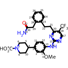 COc1cc(C2CCN(C(=O)O)CC2)ccc1Nc1ncc(C(F)(F)F)c(CCc2ccccc2CC(N)=O)n1